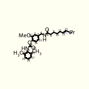 COc1cc(CNC(=O)CCCC/C=C/C(C)C)ccc1OC(=O)Nc1c(C)cccc1C